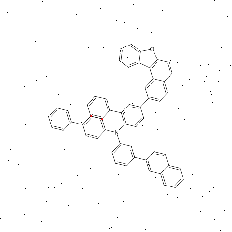 c1ccc(-c2ccc(N(c3cccc(-c4ccc5ccccc5c4)c3)c3ccc(-c4ccc5ccc6oc7ccccc7c6c5c4)cc3-c3ccccc3)cc2)cc1